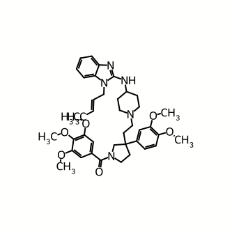 CC=CCn1c(NC2CCN(CCC3(c4ccc(OC)c(OC)c4)CCN(C(=O)c4cc(OC)c(OC)c(OC)c4)C3)CC2)nc2ccccc21